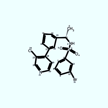 C[C@H](NS(=O)(=O)c1cccc(Br)c1)c1cccc(-c2ccncc2Cl)c1